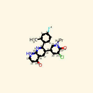 Cc1cc(F)ccc1-c1nc2[nH]ccc(=O)c2cc1-c1cc(Cl)c(=O)n(C(C)C)c1